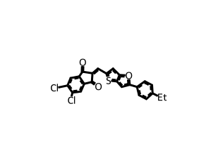 CCc1ccc(-c2cc3sc(C=C4C(=O)c5cc(Cl)c(Cl)cc5C4=O)cc3o2)cc1